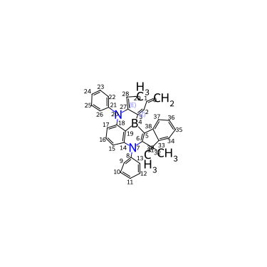 C=C/C=C1/B2C3=C(N(c4ccccc4)c4cccc(c42)N(c2ccccc2)/C1=C/C)C(C)(C)c1ccccc13